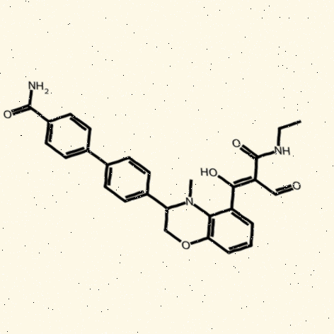 CCNC(=O)/C(C=O)=C(\O)c1cccc2c1N(C)C(c1ccc(-c3ccc(C(N)=O)cc3)cc1)CO2